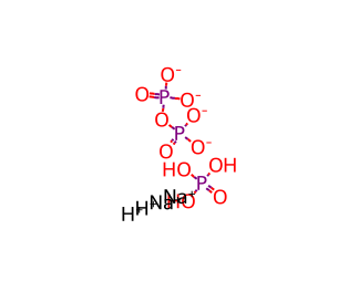 O=P(O)(O)O.O=P([O-])([O-])OP(=O)([O-])[O-].[H+].[H+].[Na+].[Na+]